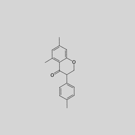 Cc1ccc(C2COc3cc(C)cc(C)c3C2=O)cc1